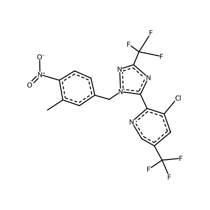 Cc1cc(Cn2nc(C(F)(F)F)nc2-c2ncc(C(F)(F)F)cc2Cl)ccc1[N+](=O)[O-]